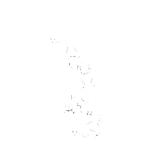 COc1ccc(CN2C(=O)CCc3c(OC[C@]4(O)CCN(c5cc(OC)c(Cl)cc5F)C[C@H]4O[Si](C)(C)C(C)(C)C)ccc(F)c32)cc1